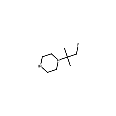 CC(C)(CF)N1CCNCC1